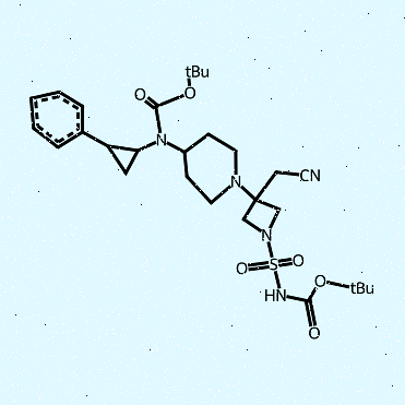 CC(C)(C)OC(=O)NS(=O)(=O)N1CC(CC#N)(N2CCC(N(C(=O)OC(C)(C)C)C3CC3c3ccccc3)CC2)C1